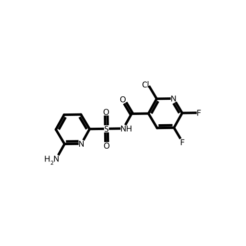 Nc1cccc(S(=O)(=O)NC(=O)c2cc(F)c(F)nc2Cl)n1